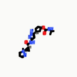 CC(C)NC(=O)O[C@@H]1CC[C@H](c2cc(NC(=O)[C@@H]3C[C@H]3[N+]3(C)C=CC=N3)n[nH]2)C1